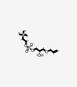 C=CCOC[C@H](O)COP(=O)([O-])OCC[N+](C)(C)C